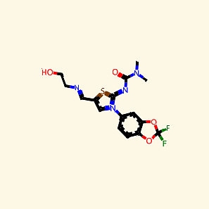 CN(C)C(=O)N=c1sc(C=NCCO)cn1-c1ccc2c(c1)OC(F)(F)O2